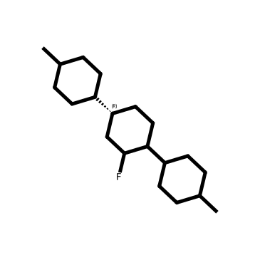 CC1CCC(C2CC[C@@H](C3CCC(C)CC3)CC2F)CC1